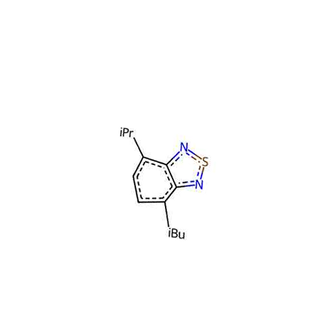 CCC(C)c1ccc(C(C)C)c2nsnc12